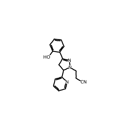 N#CCCN1N=C(c2ccccc2O)CC1c1ccccn1